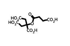 O=C(O)CCC(=O)OC(CC(=O)O)(CC(=O)O)C(=O)O